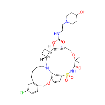 CC1(C)OC/C=C/[C@H](OC(=O)NCCN2CCC(O)CC2)[C@@H]2CC[C@H]2CN2CCCCc3cc(Cl)ccc3COc3ccc(cc32)S(=O)(=O)NC1=O